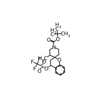 CC1CN(C(=O)OC(C)(C)C)CCC12CC(OS(=O)(=O)C(F)(F)F)c1ccccc1O2